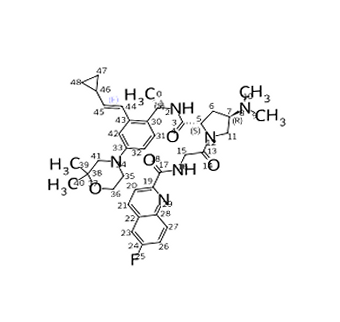 C[C@H](NC(=O)[C@@H]1C[C@@H](N(C)C)CN1C(=O)CNC(=O)c1ccc2cc(F)ccc2n1)c1ccc(N2CCOC(C)(C)C2)cc1/C=C/C1CC1